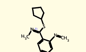 C=Nc1ccccc1/C(=N\C)SC1CCCC1